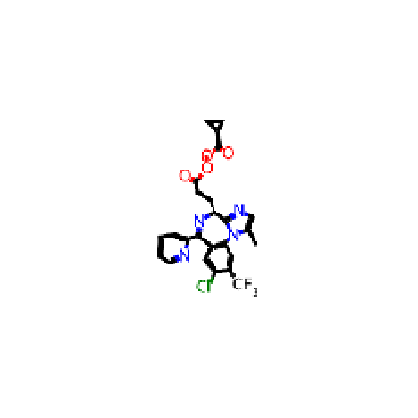 Cc1cnc2n1-c1cc(C(F)(F)F)c(Cl)cc1C(c1ccccn1)=N[C@H]2CCC(=O)OOC(=O)C1CC1